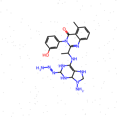 Cc1cccc2nc(C(C)NC3=C4NCN(N)C4NC(N=NN)N3)n(-c3cccc(O)c3)c(=O)c12